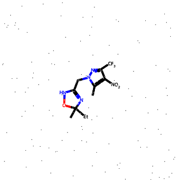 CCC1(C)N=C(Cn2nc(C(F)(F)F)c([N+](=O)[O-])c2C)NO1